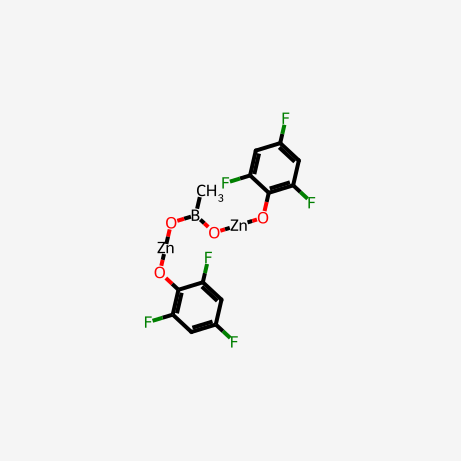 CB([O][Zn][O]c1c(F)cc(F)cc1F)[O][Zn][O]c1c(F)cc(F)cc1F